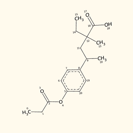 CCC(=O)Oc1ccc(C(C)CC(C)(CC)C(=O)O)cc1